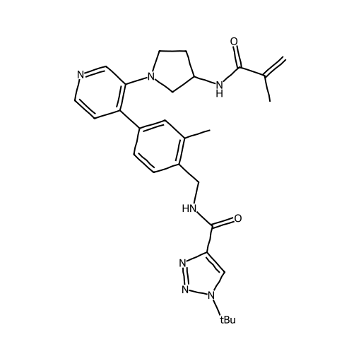 C=C(C)C(=O)NC1CCN(c2cnccc2-c2ccc(CNC(=O)c3cn(C(C)(C)C)nn3)c(C)c2)C1